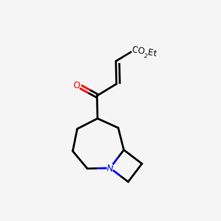 CCOC(=O)/C=C/C(=O)C1CCCN2CCC2C1